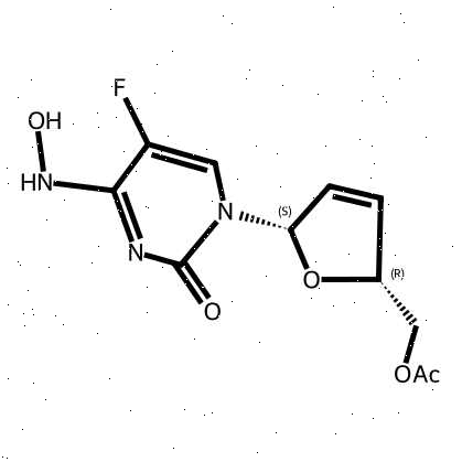 CC(=O)OC[C@H]1C=C[C@@H](n2cc(F)c(NO)nc2=O)O1